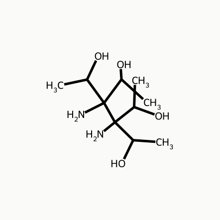 CC(O)C(N)(C(C)O)C(N)(C(C)O)C(C)O